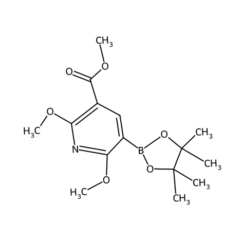 COC(=O)c1cc(B2OC(C)(C)C(C)(C)O2)c(OC)nc1OC